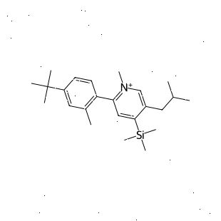 Cc1cc(C(C)(C)C)ccc1-c1cc([Si](C)(C)C)c(CC(C)C)c[n+]1C